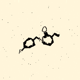 C=Cc1cccn(Cc2ccc(F)cc2)c1=O